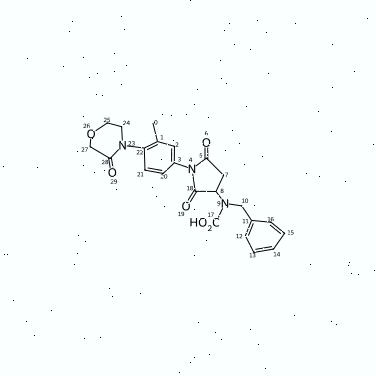 Cc1cc(N2C(=O)CC(N(Cc3ccccc3)C(=O)O)C2=O)ccc1N1CCOCC1=O